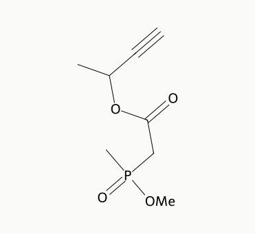 C#CC(C)OC(=O)CP(C)(=O)OC